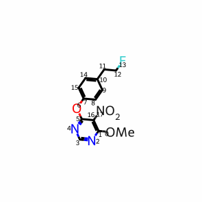 COc1ncnc(Oc2ccc(CCF)cc2)c1[N+](=O)[O-]